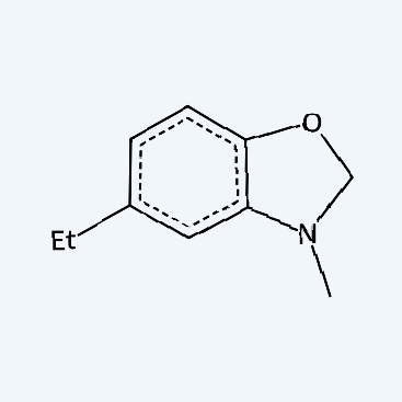 CCc1ccc2c(c1)N(C)CO2